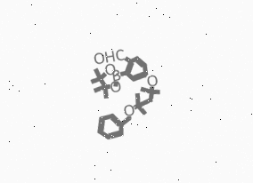 CC(C)(CC(C)(C)Oc1ccc(C=O)c(B2OC(C)(C)C(C)(C)O2)c1)OCc1ccccc1